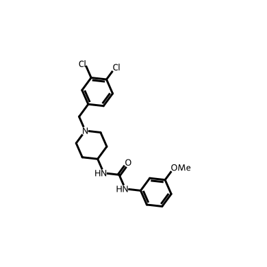 COc1cccc(NC(=O)NC2CCN(Cc3ccc(Cl)c(Cl)c3)CC2)c1